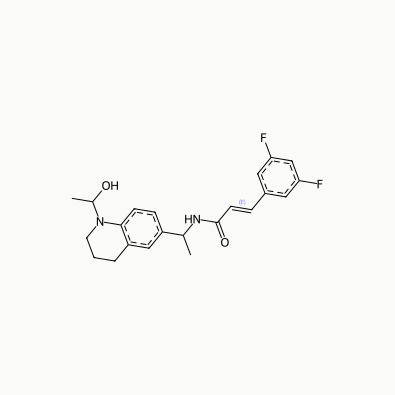 CC(NC(=O)/C=C/c1cc(F)cc(F)c1)c1ccc2c(c1)CCCN2C(C)O